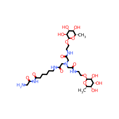 C[C@@H]1O[C@@H](OCCNC(=O)CN(CC(=O)NCCCCCC(=O)NC(=O)CN)CC(=O)NCCO[C@@H]2O[C@@H](C)[C@@H](O)[C@@H](O)[C@@H]2O)[C@@H](O)[C@H](O)[C@@H]1O